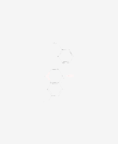 COc1cccc([C@H]2COc3cc(OC(C)=O)ccc3[C@H]2O)c1